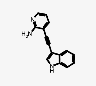 Nc1ncccc1C#Cc1c[nH]c2ccccc12